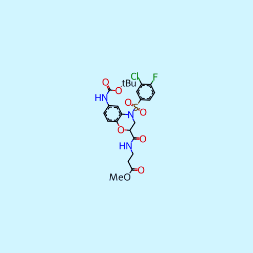 COC(=O)CCNC(=O)C1CN(S(=O)(=O)c2ccc(F)c(Cl)c2)c2cc(NC(=O)OC(C)(C)C)ccc2O1